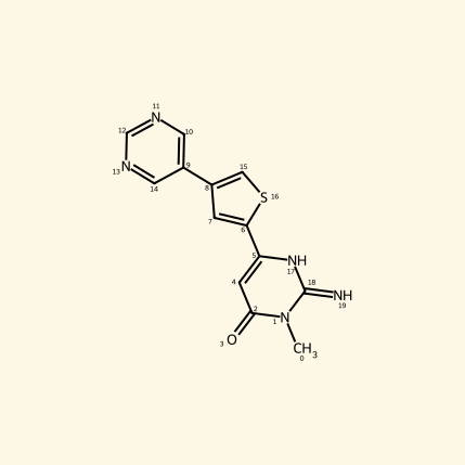 Cn1c(=O)cc(-c2cc(-c3cncnc3)cs2)[nH]c1=N